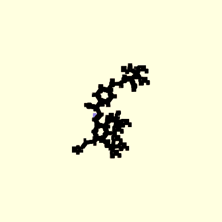 CCCc1cc(/C=C/C(=O)c2ccc(OCOC(=O)C(C)(C)C)cc2)c(OC(C)(C)C)cc1OC(C)(C)C